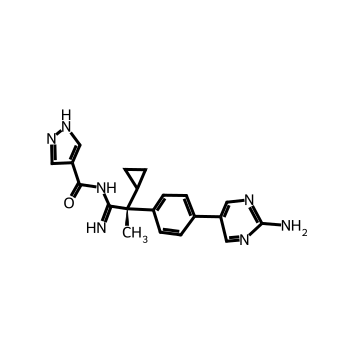 C[C@](C(=N)NC(=O)c1cn[nH]c1)(c1ccc(-c2cnc(N)nc2)cc1)C1CC1